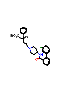 CCOC(=O)CC(CC)(CCCN1CCC(NC(=O)c2ccccc2-c2cccc(F)c2)CC1)c1ccccc1